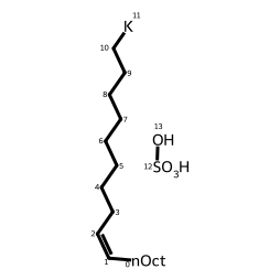 CCCCCCCC/C=C\CCCCCCC[CH2][K].O=S(=O)(O)O